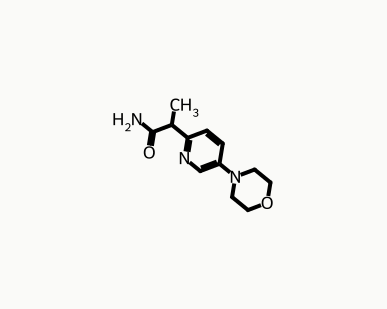 CC(C(N)=O)c1ccc(N2CCOCC2)cn1